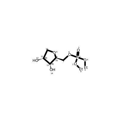 CCOP(=O)(OCC)OC[C@@H]1OC[C@@H](O)[C@H]1O